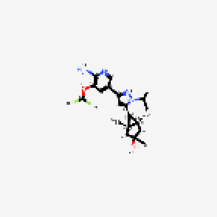 CC(C)n1nc(-c2cnc(N)c(OC(F)F)c2)cc1[C@H]1[C@@H]2CC(C)(O)C[C@@H]21